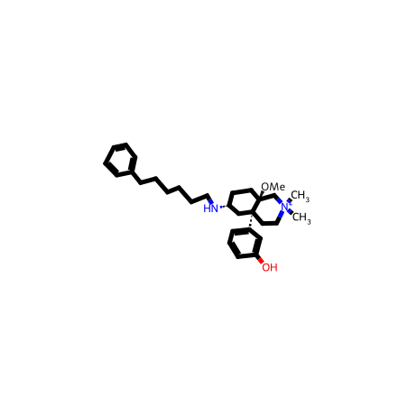 CO[C@]12CC[C@@H](NCCCCCCc3ccccc3)C[C@]1(c1cccc(O)c1)CC[N+](C)(C)C2